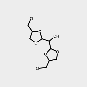 OC(C1OCC(CCl)O1)C1OCC(CCl)O1